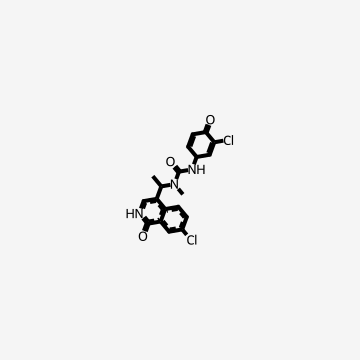 CC(c1c[nH]c(=O)c2cc(Cl)ccc12)N(C)C(=O)NC1C=CC(=O)C(Cl)=C1